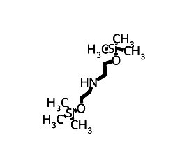 C[Si](C)(C)OCCNCCO[Si](C)(C)C